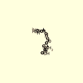 [2H]C1C=CN(c2ccc3c(c2)c(C)cn3C2CCN(CC3(F)CCN(C(=O)c4ccc(C5CCCN(c6cc(-c7ccccc7O)nnc6N)C5)c(C5CC5)c4)CC3)CC2)C([2H])N1